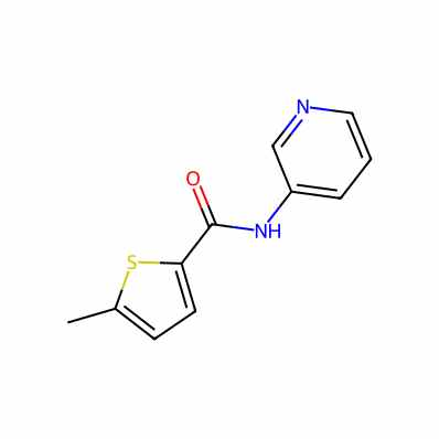 Cc1ccc(C(=O)Nc2cccnc2)s1